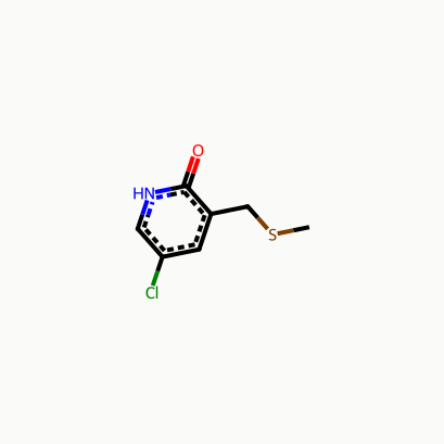 CSCc1cc(Cl)c[nH]c1=O